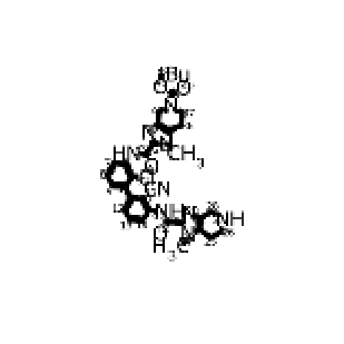 Cn1c(C(=O)Nc2cccc(-c3cccc(NC(=O)c4nc5c(n4C)CCNC5)c3C#N)c2Cl)nc2c1CCN(C(=O)OC(C)(C)C)C2